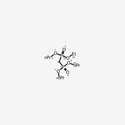 CCCOP(=O)(CP(=O)(OCCC)OCCC)OCC